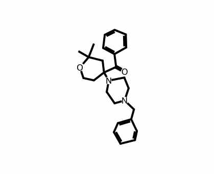 CC1(C)CC(C(=O)c2ccccc2)(N2CCN(Cc3ccccc3)CC2)CCO1